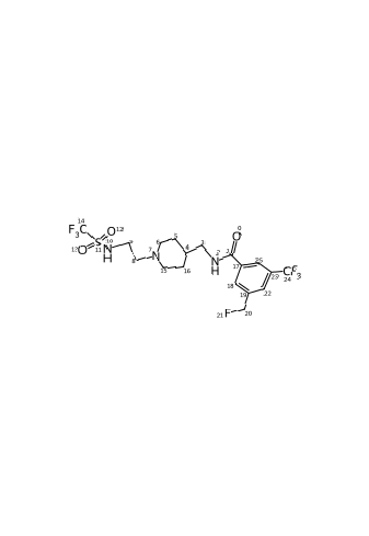 O=C(NCC1CCN(CCNS(=O)(=O)C(F)(F)F)CC1)c1cc(CF)cc(C(F)(F)F)c1